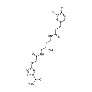 COC(=O)c1cc(OCC(=O)NC[C@@H](O)CCNC(=O)COc2ccc(Cl)c(F)c2)no1